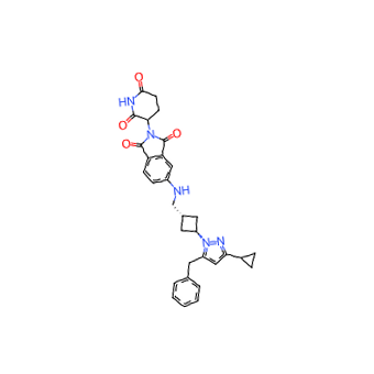 O=C1CCC(N2C(=O)c3ccc(NC[C@H]4C[C@H](n5nc(C6CC6)cc5Cc5ccccc5)C4)cc3C2=O)C(=O)N1